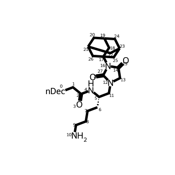 CCCCCCCCCCCC(=O)N[C@@H](CCCCN)CN1CC(=O)N(C23CC4CC(CC(C4)C2)C3)C1=O